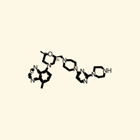 Cc1ccc(N2C[C@H](CN3CCN(c4ccnc(N5CCNCC5)n4)CC3)O[C@H](C)C2)c2nccnc12